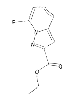 CCOC(=O)c1cc2cccc(F)n2n1